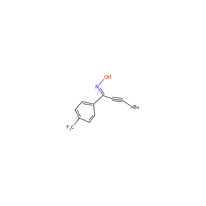 CCCCC#C/C(=N\O)c1ccc(C(F)(F)F)cc1